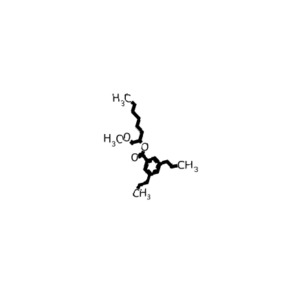 CCCCCCC(COC)OC(=O)c1cc(CCC)cc(CCC)c1